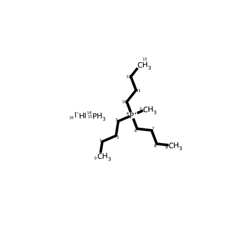 CCCC[P+](C)(CCCC)CCCC.I.P.[I-]